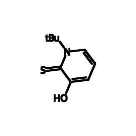 CC(C)(C)n1cccc(O)c1=S